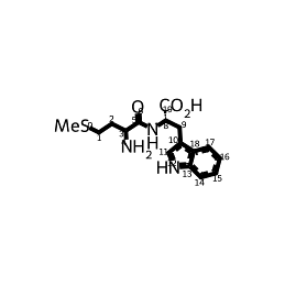 CSCCC(N)C(=O)N[C@@H](Cc1c[nH]c2ccccc12)C(=O)O